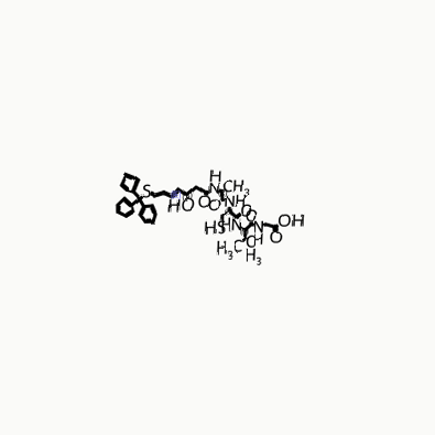 CC(C)[C@@H](NC(=O)[C@@H](CS)NC(=O)[C@@H](C)NC(=O)C[C@H](O)/C=C/CCSC(c1ccccc1)(c1ccccc1)c1ccccc1)C(=O)NCC(=O)O